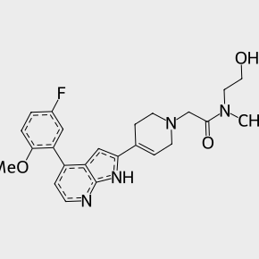 COc1ccc(F)cc1-c1ccnc2[nH]c(C3=CCN(CC(=O)N(C)CCO)CC3)cc12